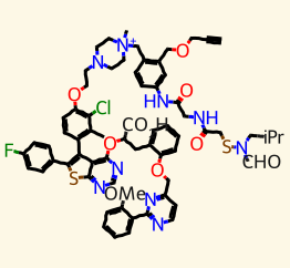 C#CCOCc1cc(NC(=O)CNC(=O)CSN(C=O)CC(C)C)ccc1C[N+]1(C)CCN(CCOc2ccc(-c3c(-c4ccc(F)cc4)sc4ncnc(OC(Cc5ccccc5OCc5ccnc(-c6ccccc6OC)n5)C(=O)O)c34)c(C)c2Cl)CC1